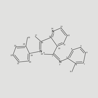 CC(=Nc1ccccc1C)c1cccnc1C(C)=Nc1ccccc1C